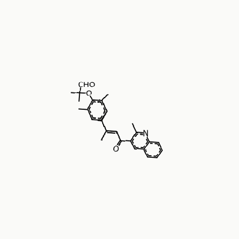 C/C(=C\C(=O)c1cc2ccccc2nc1C)c1cc(C)c(OC(C)(C)C=O)c(C)c1